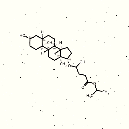 CC(C)OC(=O)CCC(O)O[C@H]1CC[C@H]2[C@@H]3CC[C@H]4C[C@H](O)CC[C@]4(C)[C@H]3CC[C@]12C